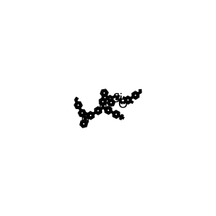 C=Cc1ccc(-c2ccc3c(c2)c2cc(-c4ccc(N(c5ccc(-c6ccc(C(C)(C)C)cc6)cc5)c5ccc6c(c5)C(CCC[Si](C)(C)CCOc5cc(C)c(-c7ccc(C=C)cc7)cc5C)(c5ccccc5)c5ccccc5-6)cc4)ccc2n3-c2ccccc2)cc1